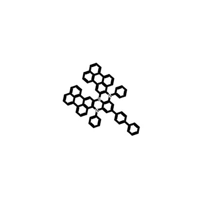 c1ccc(-c2ccc(-c3cc4c5c(c3)N(c3ccccc3)c3c(cc6c7cccc8cccc(c9cccc3c96)c87)B5c3cc5c6cccc7cccc(c8cccc(c3N4c3ccccc3)c85)c76)cc2)cc1